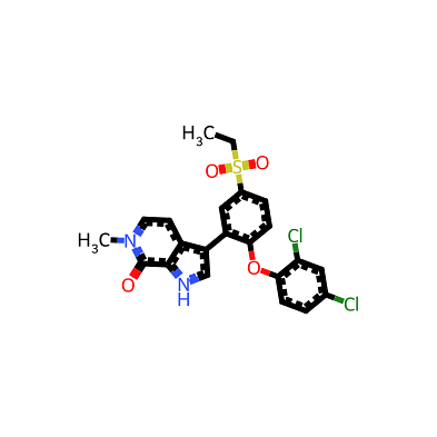 CCS(=O)(=O)c1ccc(Oc2ccc(Cl)cc2Cl)c(-c2c[nH]c3c(=O)n(C)ccc23)c1